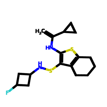 C=C(Nc1sc2c(c1SNC1CC(F)C1)CCCC2)C1CC1